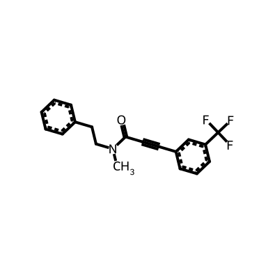 CN(CCc1ccccc1)C(=O)C#Cc1cccc(C(F)(F)F)c1